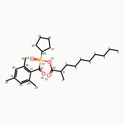 CCCCCCCCC(C)C(=O)OP(=O)(C(=O)c1c(C)cc(C)cc1C)C1CCCC1